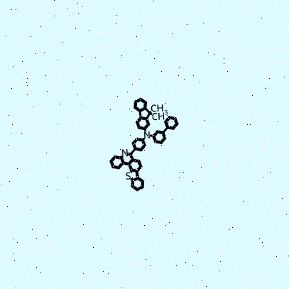 CC1(C)c2ccccc2-c2ccc(N(c3ccc(-c4nc5ccccc5c5c4ccc4c6ccccc6sc45)cc3)c3cccc(-c4ccccc4)c3)cc21